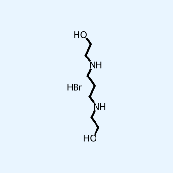 Br.OCCNCCCNCCO